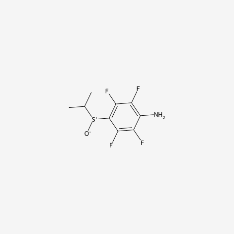 CC(C)[S+]([O-])c1c(F)c(F)c(N)c(F)c1F